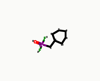 O=P(F)(F)CC1CCCCC1